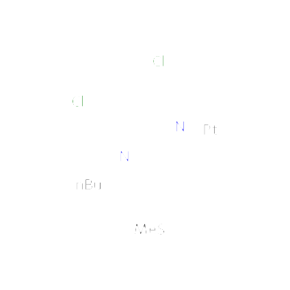 CCCCn1c(CSC)nc(Cl)c1Cl.[Pt]